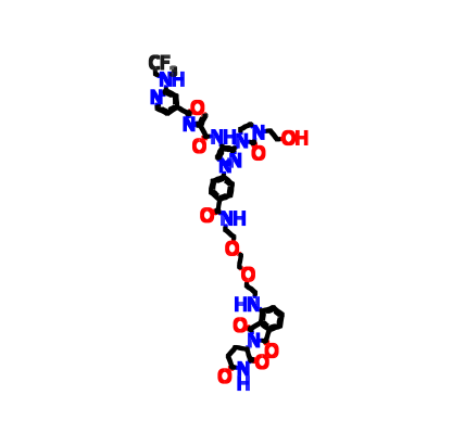 O=C1CCC(N2C(=O)c3cccc(NCCOCCOCCNC(=O)c4ccc(-n5cc(NC(=O)c6coc(-c7ccnc(NCC(F)(F)F)c7)n6)c(N6CCN(CCO)C6=O)n5)cc4)c3C2=O)C(=O)N1